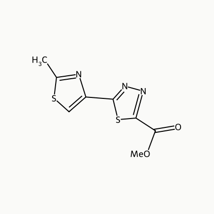 COC(=O)c1nnc(-c2csc(C)n2)s1